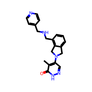 Cc1c(N2Cc3cccc(CNCc4ccncc4)c3C2)cn[nH]c1=O